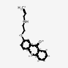 C=CCNCCSc1ccc2sc3ccccc3c(=O)c2c1